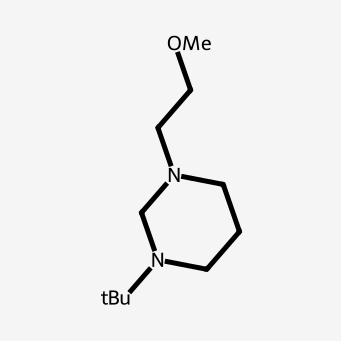 COCCN1CCCN(C(C)(C)C)C1